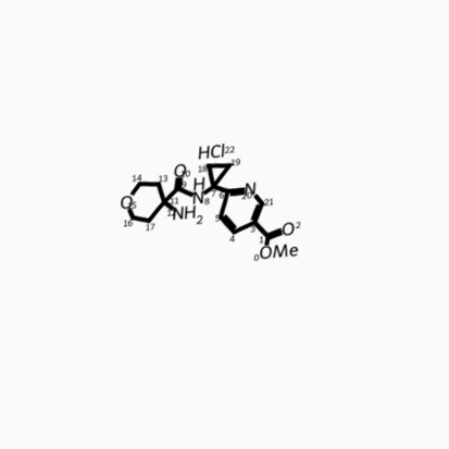 COC(=O)c1ccc(C2(NC(=O)C3(N)CCOCC3)CC2)nc1.Cl